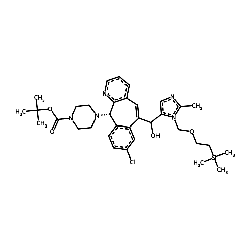 Cc1ncc(C(O)C2=Cc3cccnc3[C@@H](N3CCN(C(=O)OC(C)(C)C)CC3)c3ccc(Cl)cc32)n1COCC[Si](C)(C)C